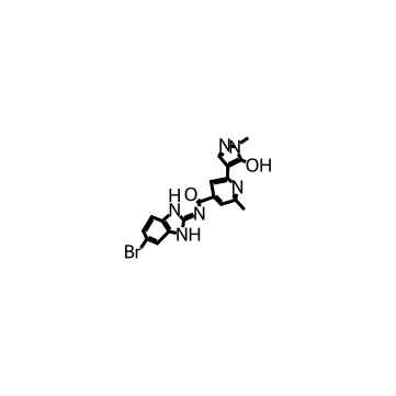 Cc1cc(C(=O)/N=c2\[nH]c3ccc(Br)cc3[nH]2)cc(-c2cnn(C)c2O)n1